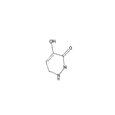 O=C1[N]NCC=C1O